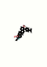 C#CC(F)(F)[C@]1(O)CC[C@H]2[C@@H]3CCC4=C(c5ccc(C(=C)C)cc5)C(=O)CCC4=C3CC[C@@]21C